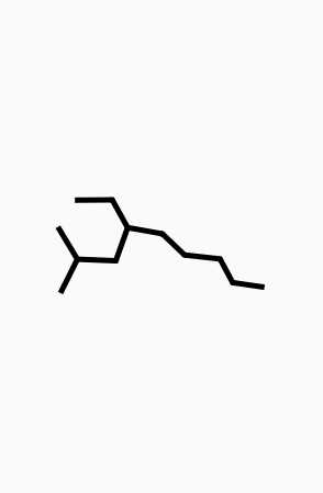 CCCCCC(CC)CC(C)C